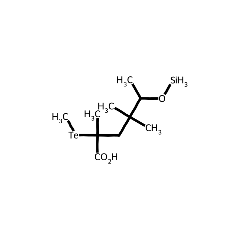 C[Te]C(C)(CC(C)(C)C(C)O[SiH3])C(=O)O